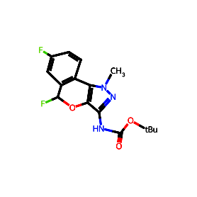 Cn1nc(NC(=O)OC(C)(C)C)c2c1-c1ccc(F)cc1C(F)O2